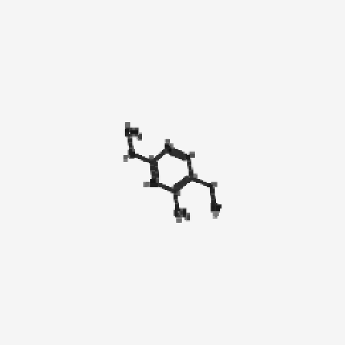 CSc1ncc(CBr)c(C)n1